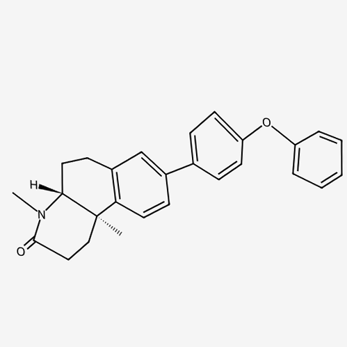 CN1C(=O)CC[C@]2(C)c3ccc(-c4ccc(Oc5ccccc5)cc4)cc3CC[C@@H]12